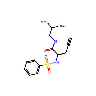 C#CCC(NS(=O)(=O)c1ccccc1)C(=O)NCC(OC)OC